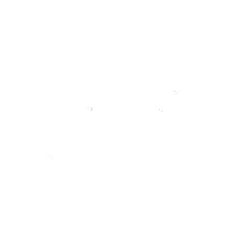 N=C(N)c1ccc2c(c1)C(CCNC(=O)c1ccc3ncccc3c1)CO2